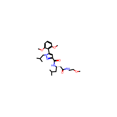 COCCNC(=O)C[C@H](CC(C)C)NC(=O)c1cc(-c2c(OC)cccc2OC)n(CC(C)C)n1